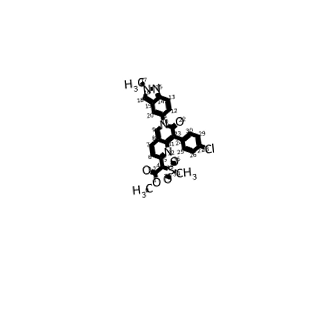 COC(=O)C(c1ccc2cn(-c3ccc4nn(C)cc4c3)c(=O)c(-c3ccc(Cl)cc3)c2n1)S(C)(=O)=O